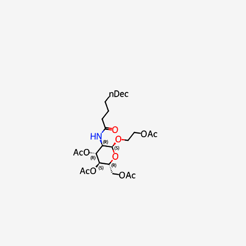 CCCCCCCCCCCCCC(=O)N[C@H]1[C@@H](OCCOC(C)=O)O[C@H](COC(C)=O)[C@@H](OC(C)=O)[C@@H]1OC(C)=O